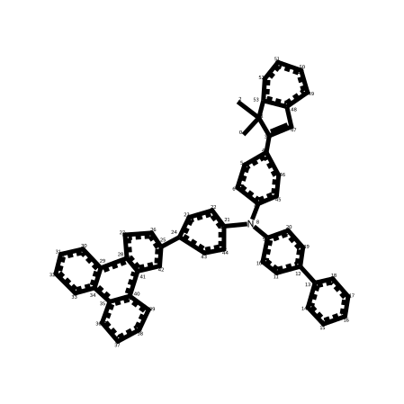 CC1(C)C(c2ccc(N(c3ccc(-c4ccccc4)cc3)c3ccc(-c4ccc5c6ccccc6c6ccccc6c5c4)cc3)cc2)=Cc2ccccc21